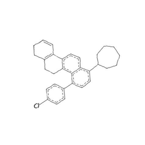 Clc1ccc(-c2ccc(C3CCCCCC3)c3ccc4c(c23)CCC2=C4C=CCC2)cc1